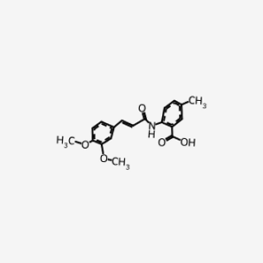 COc1ccc(/C=C/C(=O)Nc2ccc(C)cc2C(=O)O)cc1OC